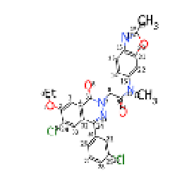 CCOc1cc2c(=O)n(CC(=O)N(C)c3ccc4nc(C)oc4c3)nc(-c3cccc(Cl)c3)c2cc1Cl